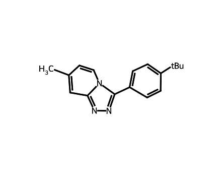 Cc1ccn2c(-c3ccc(C(C)(C)C)cc3)nnc2c1